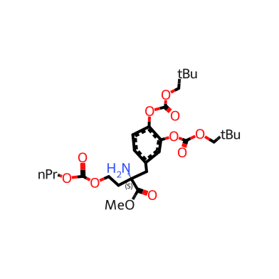 CCCOC(=O)OCC[C@@](N)(Cc1ccc(OC(=O)OCC(C)(C)C)c(OC(=O)OCC(C)(C)C)c1)C(=O)OC